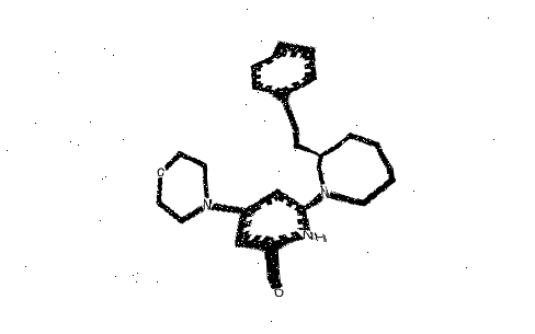 O=c1cc(N2CCOCC2)cc(N2CCCC[C@@H]2Cc2ccccc2)[nH]1